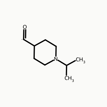 CC(C)N1CCC([C]=O)CC1